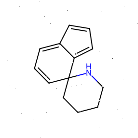 C1=CC2=CC=CC3(CCCCN3)C2=C1